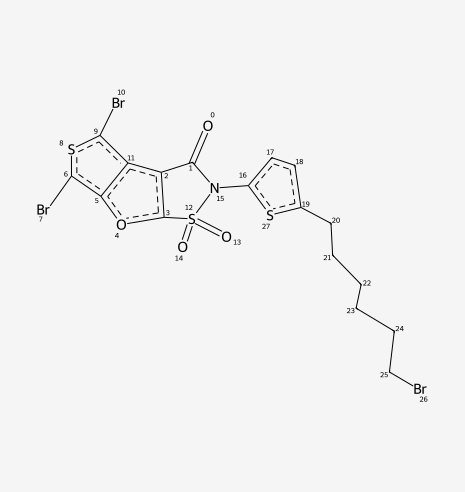 O=C1c2c(oc3c(Br)sc(Br)c23)S(=O)(=O)N1c1ccc(CCCCCCBr)s1